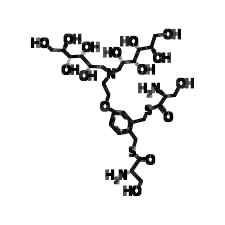 N[C@@H](CO)C(=O)SCc1ccc(OCCN(C[C@H](O)[C@@H](O)[C@H](O)[C@H](O)CO)C[C@H](O)[C@@H](O)[C@H](O)[C@H](O)CO)cc1CSC(=O)[C@@H](N)CO